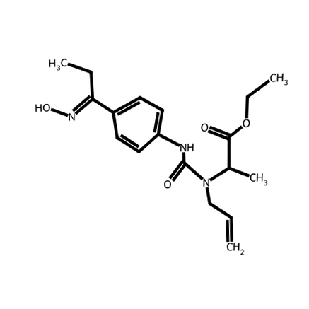 C=CCN(C(=O)Nc1ccc(C(CC)=NO)cc1)C(C)C(=O)OCC